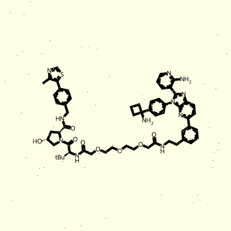 Cc1ncsc1-c1ccc(CNC(=O)[C@@H]2C[C@@H](O)CN2C(=O)[C@@H](NC(=O)COCCOCCOCC(=O)NCCc2cccc(-c3ccc4nc(-c5cccnc5N)n(-c5ccc(C6(N)CCC6)cc5)c4n3)c2)C(C)(C)C)cc1